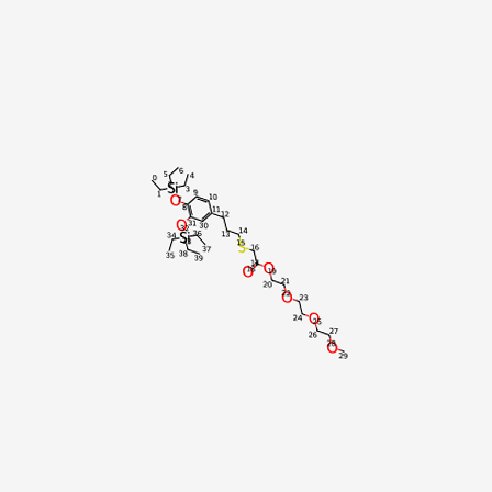 CC[Si](CC)(CC)Oc1ccc(CCCSCC(=O)OCCOCCOCCOC)cc1O[Si](CC)(CC)CC